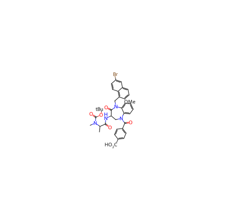 COc1ccc2cc(Br)ccc2c1CN1C(=O)C(NC(=O)C(C)N(C)C(=O)OC(C)(C)C)CN(C(=O)c2ccc(C(=O)O)cc2)c2ccccc21